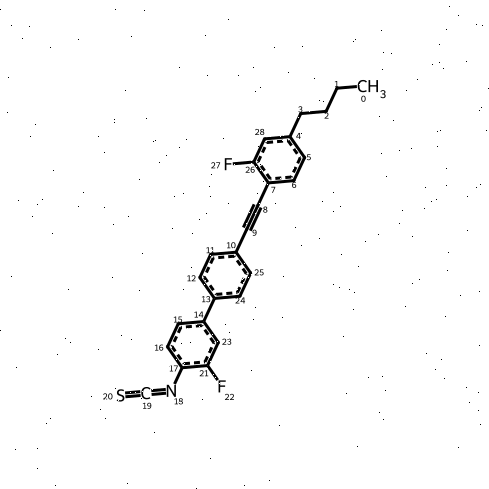 CCCCc1ccc(C#Cc2ccc(-c3ccc(N=C=S)c(F)c3)cc2)c(F)c1